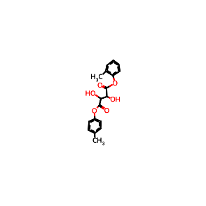 Cc1ccc(OC(=O)C(O)C(O)C(=O)Oc2ccccc2C)cc1